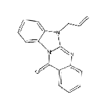 C=CCn1c2ccccc2n2c(=O)c3ccccc3nc12